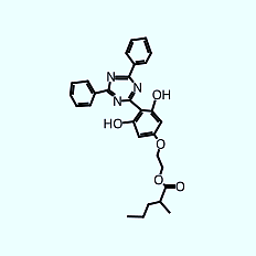 CCCC(C)C(=O)OCCOc1cc(O)c(-c2nc(-c3ccccc3)nc(-c3ccccc3)n2)c(O)c1